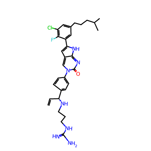 C=C[C@H](NCCCNC(=N)N)c1ccc(-n2cc3cc(-c4cc(CCCC(C)C)cc(Cl)c4F)[nH]c3nc2=O)cc1